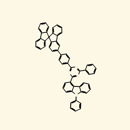 c1ccc(-c2nc(-c3ccc(-c4ccc5c(c4)-c4ccccc4C54c5ccccc5-c5ccccc54)cc3)nc(-c3cccc4c3c3ccccc3n4-c3ccccc3)n2)cc1